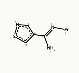 CC(C)N=C(N)c1cnsc1